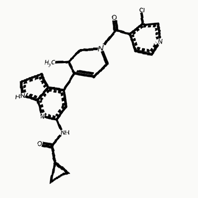 CC1CN(C(=O)c2ccncc2Cl)CC=C1c1cc(NC(=O)C2CC2)nc2[nH]ccc12